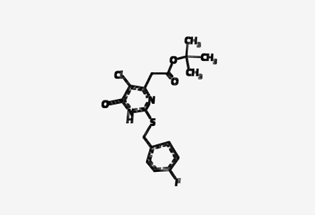 CC(C)(C)OC(=O)Cc1nc(SCc2ccc(F)cc2)[nH]c(=O)c1Cl